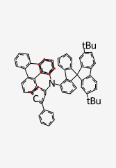 CC(C)(C)c1ccc2c(c1)C1(c3cc(C(C)(C)C)ccc3-2)c2ccccc2-c2c(N(c3cccc(-c4ccccc4)c3)c3ccccc3-c3ccccc3-c3ccccc3-c3ccccc3)cccc21